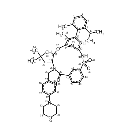 Cc1cccc(C(C)C)c1-c1nc2nc(c1C)OC[C@@H](CC(C)(C)C)N(Cc1ccc(N3CCOCC3)cn1)C(=O)c1cccc(c1)S(=O)(=O)N2